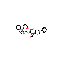 CC(C)(C)[Si](OCC[C@@H](C(=O)O)N(C=O)c1ccc(-c2ccccc2)cc1)(c1ccccc1)c1ccccc1